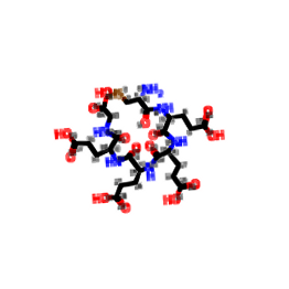 N[C@@H](CS)C(=O)N[C@@H](CCC(=O)O)C(=O)N[C@@H](CCC(=O)O)C(=O)N[C@@H](CCC(=O)O)C(=O)N[C@@H](CCC(=O)O)C(=O)NCC(=O)O